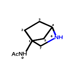 CC(=O)NC12CCC(C1)NC2